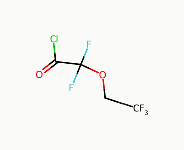 O=C(Cl)C(F)(F)OCC(F)(F)F